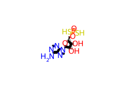 Nc1ncnc2c1ncn2[C@@H]1O[C@@H](COP(=O)(S)S)[C@H](O)[C@H]1O